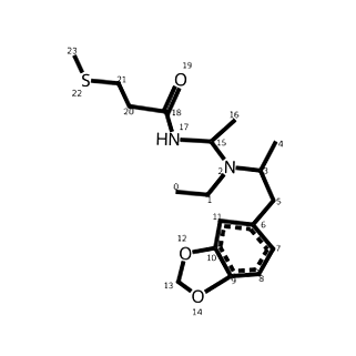 CCN(C(C)Cc1ccc2c(c1)OCO2)C(C)NC(=O)CCSC